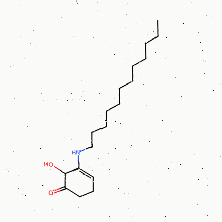 CCCCCCCCCCCCNC1=CCCC(=O)C1O